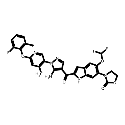 Cc1cc(Oc2c(F)cccc2F)ncc1-n1ncc(C(=O)c2cc3cc(OC(F)F)c(N4CCOC4=O)cc3[nH]2)c1N